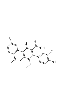 CCn1c(C)c(-c2cc(F)ccc2OC)c(=O)c(C(=O)O)c1-c1ccc(Cl)c(Cl)c1